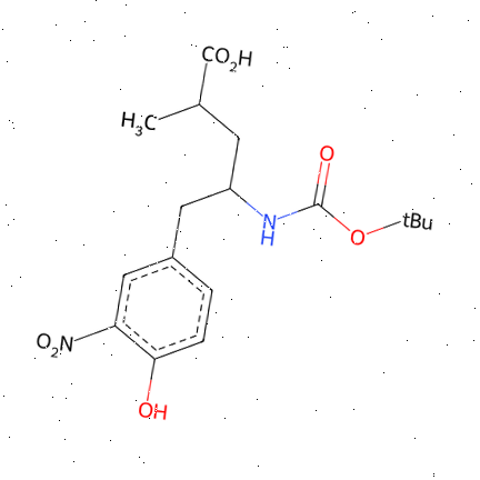 CC(CC(Cc1ccc(O)c([N+](=O)[O-])c1)NC(=O)OC(C)(C)C)C(=O)O